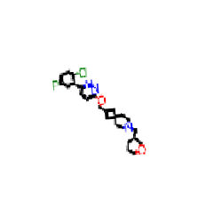 Fc1ccc(Cl)c(-c2ccc(OCC3CC4(CCN(CC5CCCOC5)CC4)C3)nn2)c1